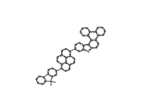 CC1(C)c2ccccc2-c2ccc(-c3ccc4ccc5c(-c6ccc7c(c6)sc6ccc8c9ccccc9c9ccccc9c8c67)ccc6ccc3c4c65)cc21